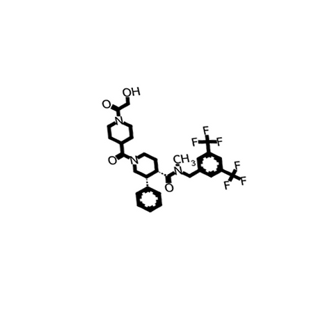 CN(Cc1cc(C(F)(F)F)cc(C(F)(F)F)c1)C(=O)[C@H]1CCN(C(=O)C2CCN(C(=O)CO)CC2)C[C@H]1c1ccccc1